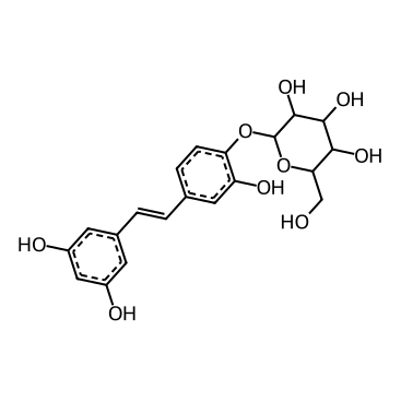 OCC1OC(Oc2ccc(/C=C/c3cc(O)cc(O)c3)cc2O)C(O)C(O)C1O